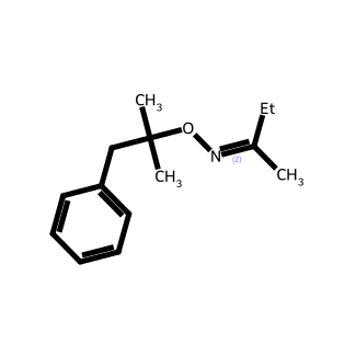 CC/C(C)=N\OC(C)(C)Cc1ccccc1